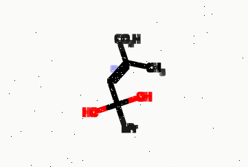 CCCC(O)(O)/C=C(\C)C(=O)O